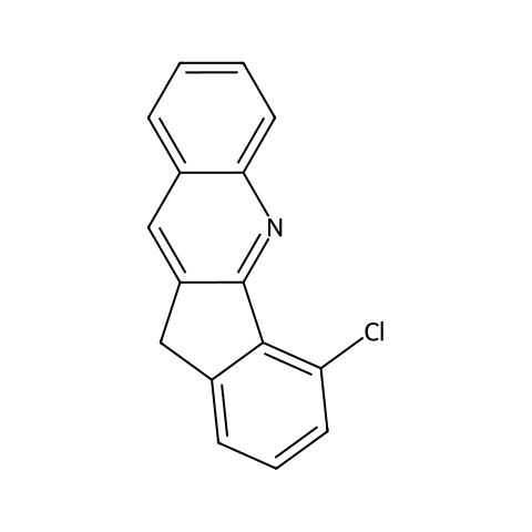 Clc1cccc2c1-c1nc3ccccc3cc1C2